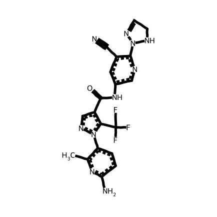 Cc1nc(N)ccc1-n1ncc(C(=O)Nc2cnc(N3N=CCN3)c(C#N)c2)c1C(F)(F)F